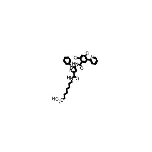 O=C(O)CCCCCCCNC(=O)c1cc(NC(=O)c2cc(-c3ccccn3)c(Cl)cc2Cl)n(-c2ccccc2)n1